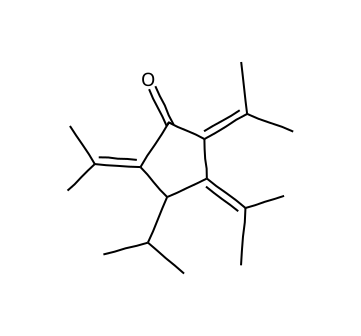 CC(C)=C1C(=O)C(=C(C)C)C(C(C)C)C1=C(C)C